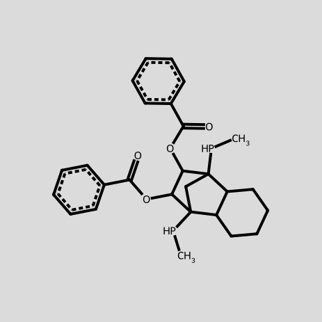 CPC12CC(PC)(C3CCCCC31)C(OC(=O)c1ccccc1)C2OC(=O)c1ccccc1